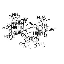 CC(C)C[C@H](NC(=O)[C@H](CO)NC(=O)[C@H](CCC(N)=O)NC(=O)[C@H](CC(C)C)NC(=O)[C@H](CC(C)C)NC(=O)[C@H](CCC(=O)O)NC(=O)[C@H](CCC(N)=O)NC(=O)[C@H](CCC(N)=O)NC(=O)[C@H](C)NC(=O)[C@H](CCCNC(=N)N)NC(=O)[C@@H](N)CC(C)C)C(=O)O